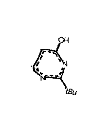 CC(C)(C)c1n[c]cc(O)n1